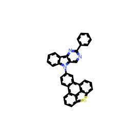 c1ccc(-c2ncc3c(n2)c2ccccc2n3-c2ccc3c(c2)c2cccc4sc5cccc3c5c42)cc1